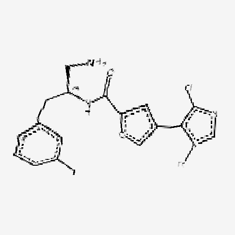 CCn1cnc(Cl)c1-c1coc(C(=O)N[C@H](CN)Cc2cccc(F)c2)c1